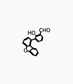 O=Cc1cccc(-c2cccc3oc4ccccc4c23)c1O